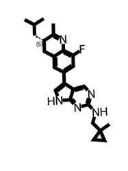 CC1=Nc2c(F)cc(-c3c[nH]c4nc(NCC5(C)CC5)ncc34)cc2C[C@@H]1CC(C)C